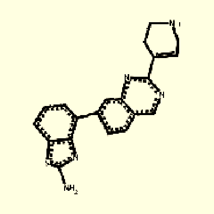 Nc1nc2c(-c3ccc4cnc(C5=CCNCC5)nc4c3)cccc2s1